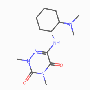 CN(C)[C@@H]1CCCC[C@H]1Nc1nn(C)c(=O)n(C)c1=O